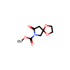 CC(C)(C)OC(=O)N1CC2(CC1=O)OCCO2